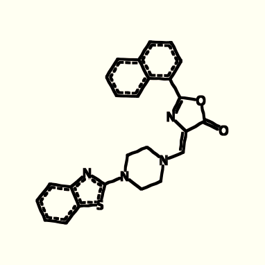 O=C1OC(c2cccc3ccccc23)=NC1=CN1CCN(c2nc3ccccc3s2)CC1